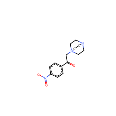 O=C(C[N+]12CCN(CC1)CC2)c1ccc([N+](=O)[O-])cc1